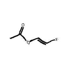 CC(=O)OC=C[S]